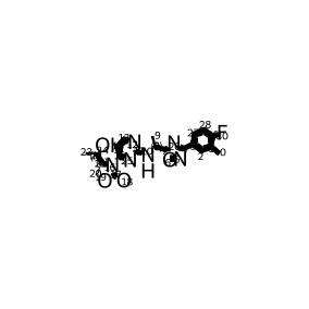 Cc1cc(-c2noc([C@H](C)Nc3nccc(N4C(=O)OC[C@@H]4[C@@H](C)O)n3)n2)ccc1F